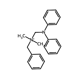 C[N+](C)(Cc1ccccc1)CN(c1ccccc1)c1ccccc1